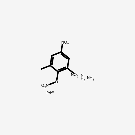 Cc1cc([N+](=O)[O-])cc([N+](=O)[O-])c1O[N+](=O)[O-].N.N.[Pd+2]